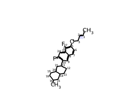 C/C=C/COc1ccc2cc(C3CCC4CC(C)CCC4C3)c(F)cc2c1F